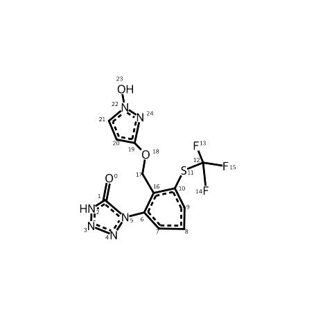 O=c1[nH]nnn1-c1cccc(SC(F)(F)F)c1COc1ccn(O)n1